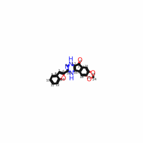 O=c1c2[nH]nc(-c3cc4ccccc4o3)[nH]c=2c2cc3c(cc12)OCO3